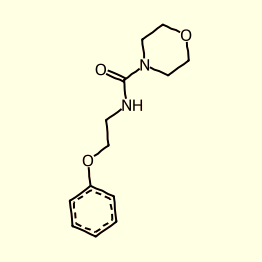 O=C(NCCOc1ccccc1)N1CCOCC1